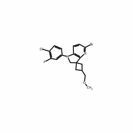 COCC1CC2(C1)CN(c1ccc(Cl)c(F)c1)c1ccc(Br)nc12